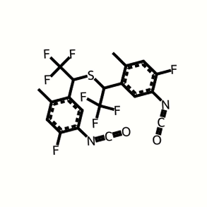 Cc1cc(F)c(N=C=O)cc1C(SC(c1cc(N=C=O)c(F)cc1C)C(F)(F)F)C(F)(F)F